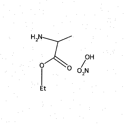 CCOC(=O)C(C)N.O=[N+]([O-])O